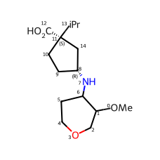 COC1COCCC1N[C@@H]1CC[C@@](C(=O)O)(C(C)C)C1